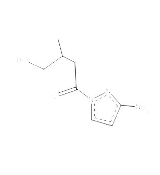 CC(CO)CC(=O)n1ccc([N+](=O)[O-])n1